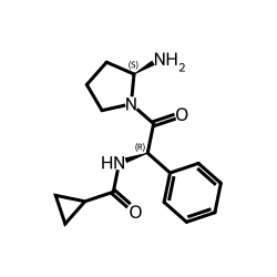 N[C@@H]1CCCN1C(=O)[C@H](NC(=O)C1CC1)c1ccccc1